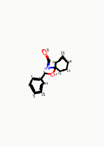 O=C=NC1(OCc2ccccc2)CCCCC1